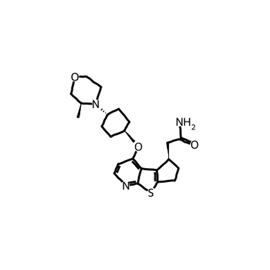 C[C@H]1COCCN1[C@H]1CC[C@H](Oc2ccnc3sc4c(c23)[C@@H](CC(N)=O)CC4)CC1